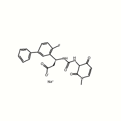 CN1C=CC(=O)C(NC(=O)N[C@@H](CC(=O)[O-])c2cc(-c3ccccc3)ccc2F)C1=O.[Na+]